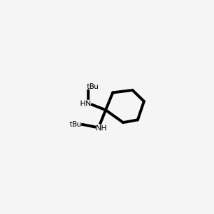 CC(C)(C)NC1(NC(C)(C)C)CCCCC1